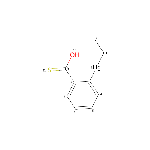 C[CH2][Hg][c]1ccccc1C(O)=S